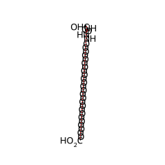 O=CNC(=O)C(=O)CCNCCNCCCOCCOCCOCCOCCOCCOCCOCCOCCOCCOCCOCCOCCOCCOCCOCCOCCOCCOCCOCCOCCOCCOCCOCCOCCOCCC(=O)O